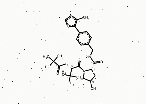 Cc1ncsc1-c1ccc(CNC(=O)[C@@H]2C[C@@H](O)CN2C(=O)[C@@H](CC(=O)C(C)(C)C)C(C)(C)C)cc1